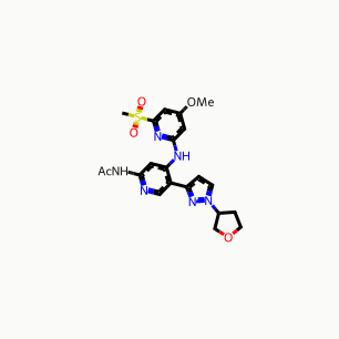 COc1cc(Nc2cc(NC(C)=O)ncc2-c2ccn(C3CCOC3)n2)nc(S(C)(=O)=O)c1